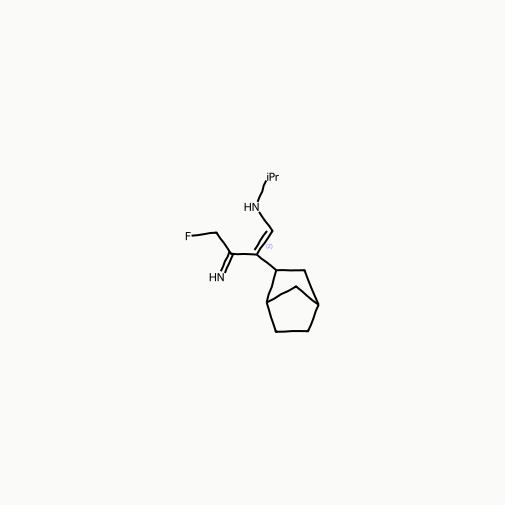 CC(C)N/C=C(\C(=N)CF)C1CC2CCC1C2